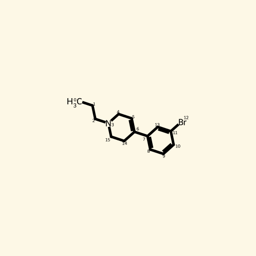 CCCN1CC=C(c2cccc(Br)c2)CC1